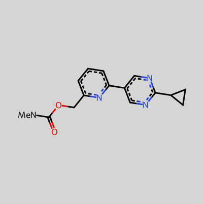 CNC(=O)OCc1cccc(-c2cnc(C3CC3)nc2)n1